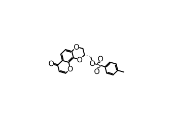 Cc1ccc(S(=O)(=O)OC[C@H]2COc3ccc4c(=O)ccoc4c3O2)cc1